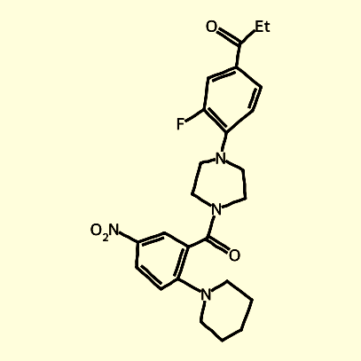 CCC(=O)c1ccc(N2CCN(C(=O)c3cc([N+](=O)[O-])ccc3N3CCCCC3)CC2)c(F)c1